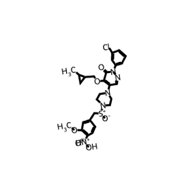 COc1cc(C[S+]([O-])N2CCN(c3cnn(-c4cccc(Cl)c4)c(=O)c3OCC3CC3C)CC2)ccc1[N@H+]([O-])O